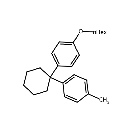 CCCCCCOc1ccc(C2(c3ccc(C)cc3)CCCCC2)cc1